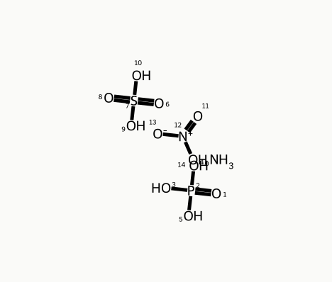 N.O=P(O)(O)O.O=S(=O)(O)O.O=[N+]([O-])O